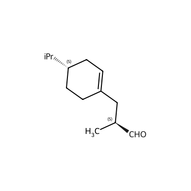 CC(C)[C@@H]1CC=C(C[C@H](C)C=O)CC1